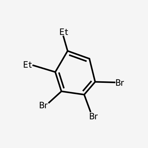 CCc1cc(Br)c(Br)c(Br)c1CC